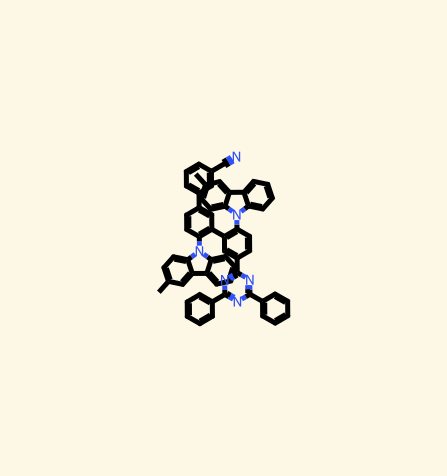 Cc1ccc2c(c1)c1ccccc1n2-c1ccc(-c2cccc(C#N)c2)cc1-c1cc(-c2nc(-c3ccccc3)nc(-c3ccccc3)n2)ccc1-n1c2ccccc2c2cc(C)ccc21